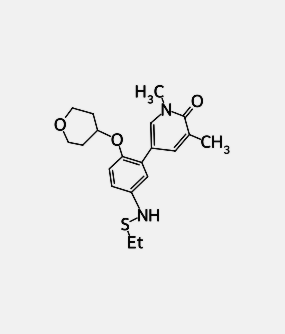 CCSNc1ccc(OC2CCOCC2)c(-c2cc(C)c(=O)n(C)c2)c1